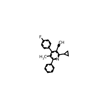 C#Cc1c(C2CC2)nc(-c2ccccc2)c(C)c1-c1ccc(F)cc1